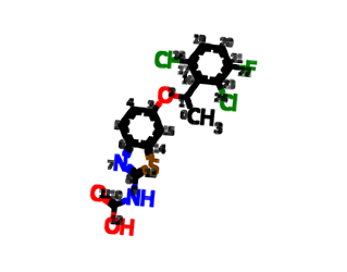 CC(Oc1ccc2nc(NC(=O)O)sc2c1)c1c(Cl)ccc(F)c1Cl